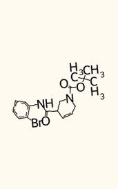 CC(C)(C)OC(=O)N1CC=CC(C(=O)Nc2ccccc2Br)C1